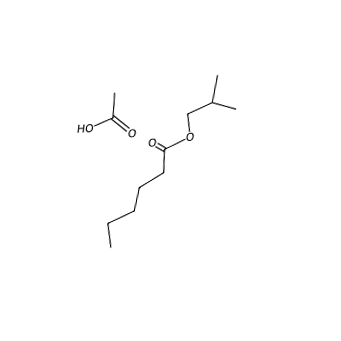 CC(=O)O.CCCCCC(=O)OCC(C)C